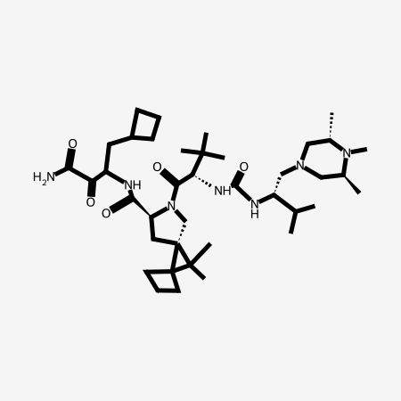 CC(C)[C@@H](CN1C[C@H](C)N(C)[C@@H](C)C1)NC(=O)N[C@H](C(=O)N1C[C@]2(C[C@H]1C(=O)NC(CC1CCC1)C(=O)C(N)=O)C(C)(C)C21CCC1)C(C)(C)C